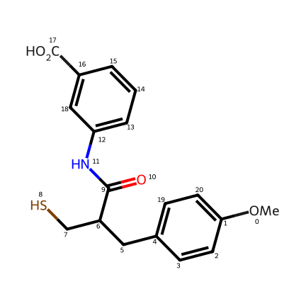 COc1ccc(CC(CS)C(=O)Nc2cccc(C(=O)O)c2)cc1